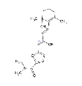 CC1=C(C=C/C(C)=C/c2ccc(C(=O)N(C)C)o2)C(C)(C)CCC1